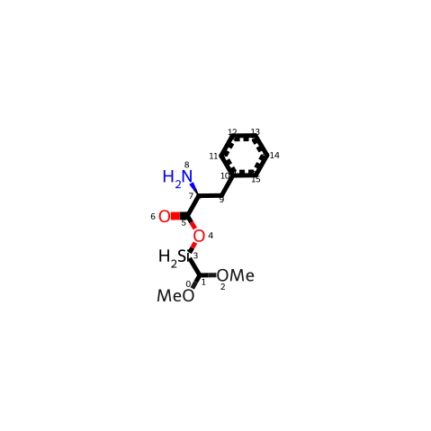 COC(OC)[SiH2]OC(=O)[C@@H](N)Cc1ccccc1